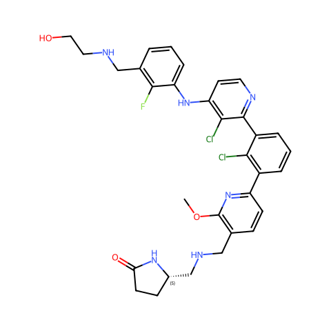 COc1nc(-c2cccc(-c3nccc(Nc4cccc(CNCCO)c4F)c3Cl)c2Cl)ccc1CNC[C@@H]1CCC(=O)N1